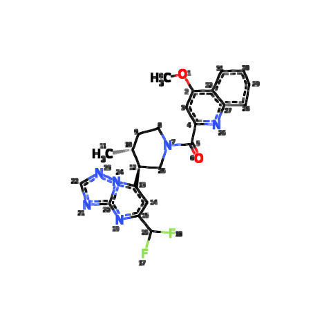 COc1cc(C(=O)N2CC[C@@H](C)[C@H](c3cc(C(F)F)nc4ncnn34)C2)nc2ccccc12